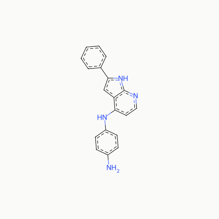 Nc1ccc(Nc2ccnc3[nH]c(-c4ccccc4)cc23)cc1